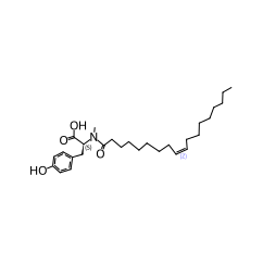 CCCCCCCC/C=C\CCCCCCCC(=O)N(C)[C@@H](Cc1ccc(O)cc1)C(=O)O